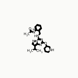 CC(=O)Nc1ccccc1CNc1nc(OC2CCCNC2)nc2c(C(C)C)cnn12